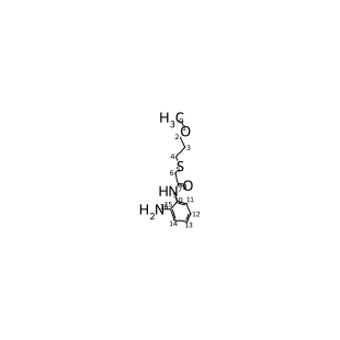 COCCCSCC(=O)Nc1ccccc1N